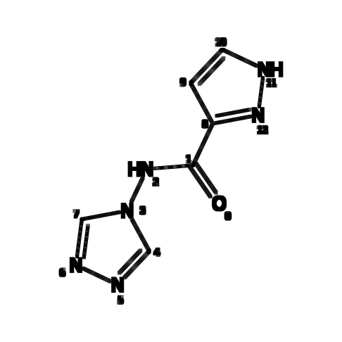 O=C(Nn1cnnc1)c1cc[nH]n1